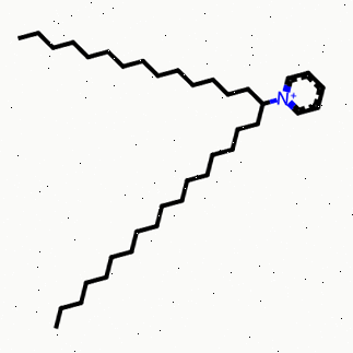 CCCCCCCCCCCCCCCCCC(CCCCCCCCCCCCCC)[n+]1ccccc1